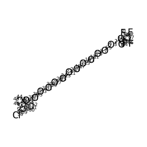 O=C(CCOCCOCCOCCOCCOCCOCCOCCOCCOCCOCCOCCOCCOC(c1ccccc1)(c1ccccc1)c1ccc(Cl)cc1)Oc1c(F)c(F)cc(F)c1F